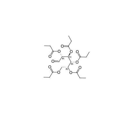 CCC(=O)OC[C@@H](OC(=O)CC)[C@@H](OC(=O)CC)[C@H](OC(=O)CC)[C@H](C=O)OC(=O)CC